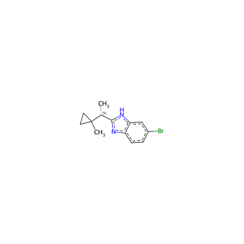 C[C@H](c1nc2ccc(Br)cc2[nH]1)C1(C)CC1